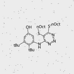 CCCCCCCCSc1nnnc(Nc2cc(O)cc(C(C)(C)C)c2C(C)(C)C)c1SCCCCCCCC